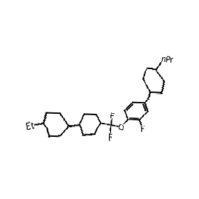 CCCC1CCC(c2ccc(OC(F)(F)C3CCC(C4CCC(CC)CC4)CC3)c(F)c2)CC1